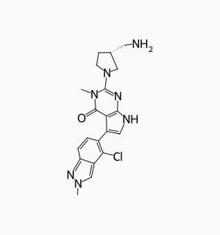 Cn1cc2c(Cl)c(-c3c[nH]c4nc(N5CC[C@H](CN)C5)n(C)c(=O)c34)ccc2n1